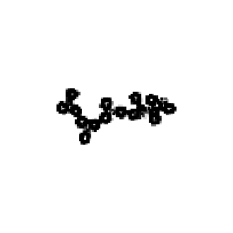 c1ccc(-c2nc(-n3c4ccccc4c4c5c6ccccc6oc5c5ccccc5c43)nc3ccc(-c4ccc(-n5c6ccccc6c6cc(-c7ccc8c(c7)c7cc(-c9ccc%10c(c9)c9ccccc9n%10-c9ccccc9)ccc7n8-c7ccccc7)ccc65)cc4)cc23)cc1